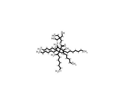 CCCCCCCCCC(C(C)CCCCCC)(C(C)CCCCCC)C(C(=O)OCC(CO)(CO)CO)(C(C)CCCCCC)C(C)CCCCCC